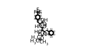 CC(C)(C)OC(=O)N[C@H](Cc1ccccc1)[C@H](O)C(=O)NC(Cc1ccc(C(F)(F)F)cc1)C(=O)O